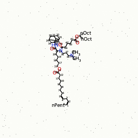 CCCCC/C=C\C/C=C\CCCCCCCC(=O)OCCCCCC(C(=O)NC12CC3CC(CC(C3)C1)C2)N(CCCN(C)C)C(=O)CCCCC(=O)OC(CCCCCCCC)CCCCCCCC